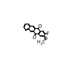 COc1cc2c(cc1F)C(=O)c1cc3ccccc3cc1C2=O